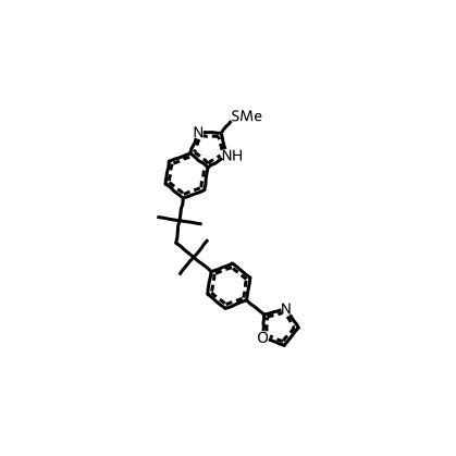 CSc1nc2ccc(C(C)(C)CC(C)(C)c3ccc(-c4ncco4)cc3)cc2[nH]1